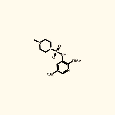 COc1ncc(C(C)(C)C)cc1NS(=O)(=O)N1CCN(C)CC1